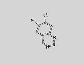 Fc1cc2cn[c]nc2cc1Cl